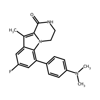 Cc1c2n(c3c(-c4ccc(N(C)C)cc4)cc(F)cc13)CCNC2=O